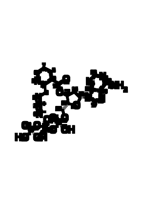 [N-]=[N+]=NCc1ncccc1C(=O)OC1C[C@H](n2cnc3c(N)ncnc32)O[C@@H]1COP(=O)(O)OP(=O)(O)OP(=O)(O)O